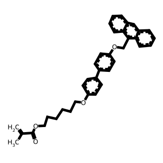 C=C(C)C(=O)OCCCCCCOc1ccc(-c2ccc(OCc3c4ccccc4cc4ccccc34)cc2)cc1